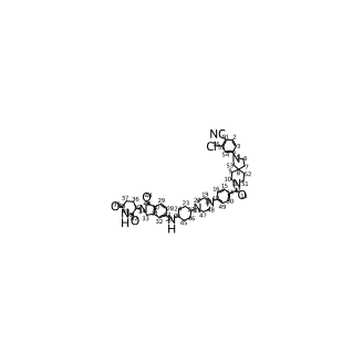 N#Cc1ccc(N2CCC3(CCN(C(=O)c4ccc(N5CCN(C6CCC(Nc7ccc8c(c7)CN(C7CCC(=O)NC7=O)C8=O)CC6)CC5)cc4)CC3)C2)cc1Cl